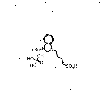 CCCCN1CN(CCCCS(=O)(=O)O)c2ccccc21.O=P(O)(O)O